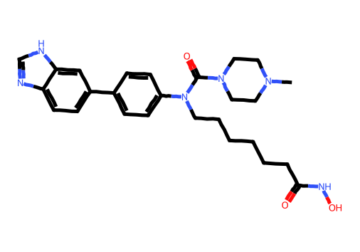 CN1CCN(C(=O)N(CCCCCCC(=O)NO)c2ccc(-c3ccc4nc[nH]c4c3)cc2)CC1